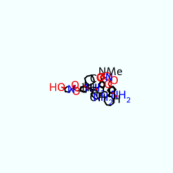 CNC(=O)Oc1ccc2c(c1)[C@@]1(C)C(C3c4ccc(OC(=O)N5CCC(O)C5)cc4[C@@]4(C)CCCCC[C@@H]3[C@@H]4N)CCCC[C@@H](C2C[C@@]23CCCCC[C@@H](Cc4ccc(OC(=O)N(C)C5COC5)cc42)[C@@H]3N)[C@@H]1N